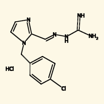 Cl.N=C(N)NN=Cc1nccn1Cc1ccc(Cl)cc1